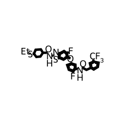 CCSC1CCC(C(=O)Nc2nc3cc(F)c(Oc4ccc(F)c(NC(=O)Cc5cccc(C(F)(F)F)c5)c4)cc3s2)CC1